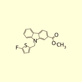 COC(=O)c1ccc2c3ccccc3n(Cc3ccc(F)s3)c2c1